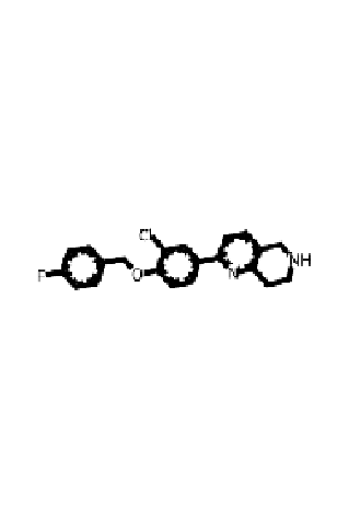 Fc1ccc(COc2ccc(-c3ccc4c(n3)CCNC4)cc2Cl)cc1